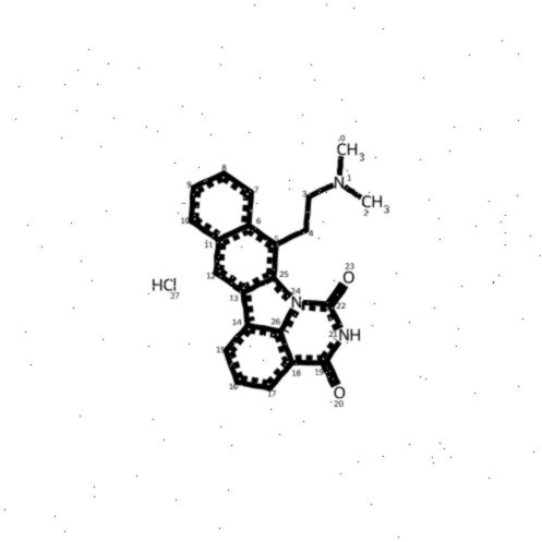 CN(C)CCc1c2ccccc2cc2c3cccc4c(=O)[nH]c(=O)n(c12)c43.Cl